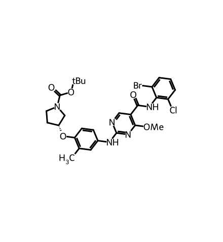 COc1nc(Nc2ccc(O[C@@H]3CCN(C(=O)OC(C)(C)C)C3)c(C)c2)ncc1C(=O)Nc1c(Cl)cccc1Br